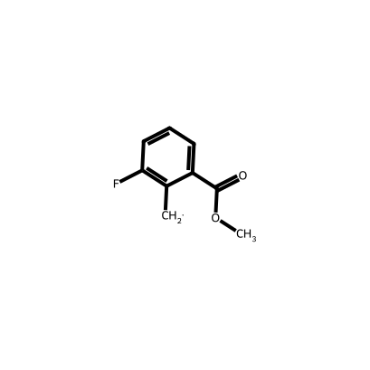 [CH2]c1c(F)cccc1C(=O)OC